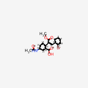 COC(=O)C(=Cc1ccccc1Br)c1ccc(NC(C)=O)cc1C(=O)O